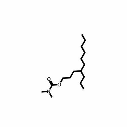 CCCCCCC(CCC)CCCOC(=O)N(C)C